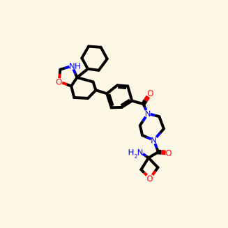 NC1(C(=O)N2CCN(C(=O)c3ccc(C4CCC5OCNC5(C5CCCCC5)C4)cc3)CC2)COC1